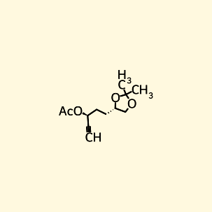 C#C[C@H](CC[C@H]1COC(C)(C)O1)OC(C)=O